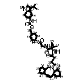 CC(C)c1cn(C)c2ccc(NC(=O)OCc3ccc(NC(=O)CNC(=O)C(NC(=O)CCC(=O)N4Cc5ccccc5C#Cc5ccccc54)C(C)C)cc3)cc12